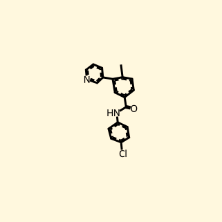 Cc1ccc(C(=O)Nc2ccc(Cl)cc2)cc1-c1cccnc1